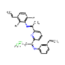 C=Cc1cccc(N=C(C)c2cccc(C(C)=Nc3c(C(C)C)ccc(C=C)c3C(C)C)n2)c1.[Cl-].[Cl-].[Co+2]